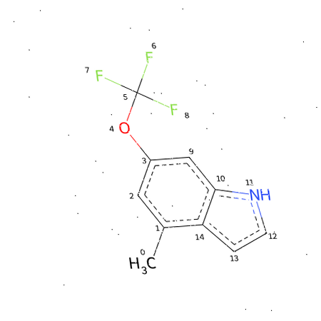 Cc1cc(OC(F)(F)F)cc2[nH]ccc12